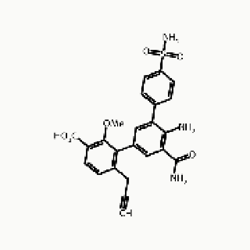 C#CCc1ccc(C(=O)O)c(OC)c1-c1cc(C(N)=O)c(N)c(-c2ccc(S(N)(=O)=O)cc2)c1